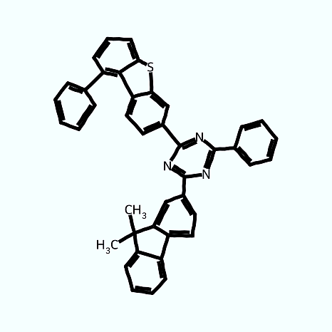 CC1(C)c2ccccc2-c2ccc(-c3nc(-c4ccccc4)nc(-c4ccc5c(c4)sc4cccc(-c6ccccc6)c45)n3)cc21